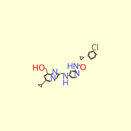 O=C(Nc1cc(NCc2cn3cc(C4CC4)cc(CO)c3n2)ccn1)[C@@H]1C[C@@H]1c1cccc(Cl)c1